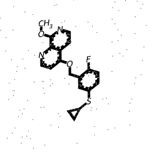 COc1nccc2c(OCc3cc(SC4CC4)ccc3F)ccnc12